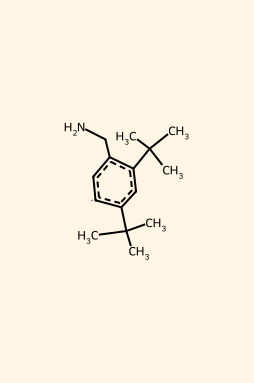 CC(C)(C)c1[c]cc(CN)c(C(C)(C)C)c1